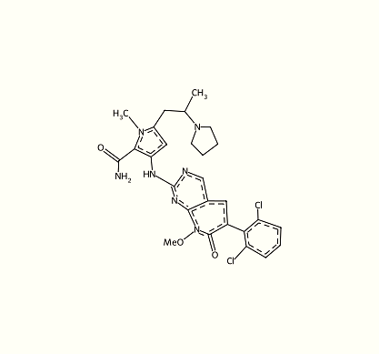 COn1c(=O)c(-c2c(Cl)cccc2Cl)cc2cnc(Nc3cc(CC(C)N4CCCC4)n(C)c3C(N)=O)nc21